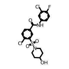 O=C(Nc1ccc(F)c(Cl)c1)c1ccc(Cl)c(S(=O)(=O)N2CCC(O)CC2)c1